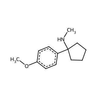 CNC1(c2ccc(OC)cc2)CCCC1